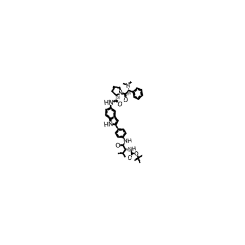 CC(C)[C@@H](NC(=O)OC(C)(C)C)C(=O)Nc1ccc(-c2cc3cc(NC(=O)[C@@H]4CCCN4C(=O)[C@@H](c4ccccc4)N(C)C)ccc3[nH]2)cc1